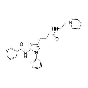 O=C(CCCc1cn(-c2ccccc2)c(NC(=O)c2ccccc2)n1)NCCN1CCCCC1